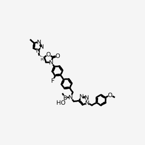 COc1ccc(Cn2cc(CN(Cc3ccc(-c4ccc(N5C[C@H](Cn6cc(C)nn6)OC5=O)cc4F)cc3)B(C)O)nn2)cc1